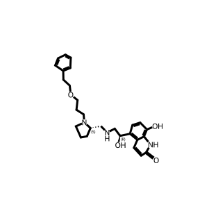 O=c1ccc2c([C@@H](O)CNC[C@@H]3CCCN3CCCOCCc3ccccc3)ccc(O)c2[nH]1